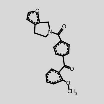 COc1ccccc1C(=O)c1ccc(C(=O)N2CCc3ccoc3C2)cc1